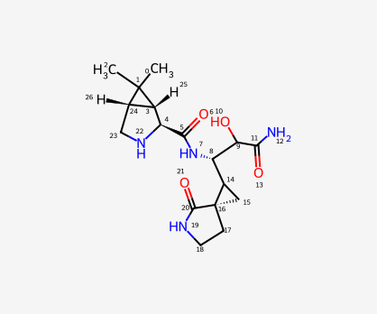 CC1(C)[C@@H]2[C@@H](C(=O)N[C@H](C(O)C(N)=O)C3C[C@@]34CCNC4=O)NC[C@@H]21